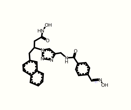 O=C(CC(Cc1ccc2ccccc2c1)n1cc(CNC(=O)c2ccc(/C=N/O)cc2)nn1)NO